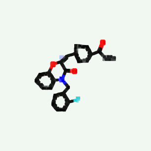 CNC(=O)c1ccc(/C=C2/Oc3ccccc3N(Cc3ccccc3F)C2=O)cc1